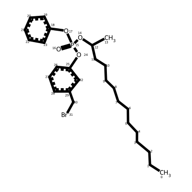 CCCCCCCCCCCCC(C)OP(=O)(Oc1ccccc1)Oc1cccc(CBr)c1